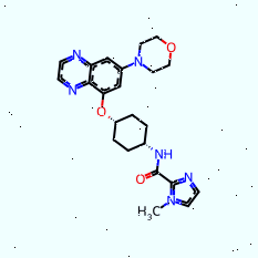 Cn1ccnc1C(=O)N[C@H]1CC[C@@H](Oc2cc(N3CCOCC3)cc3nccnc23)CC1